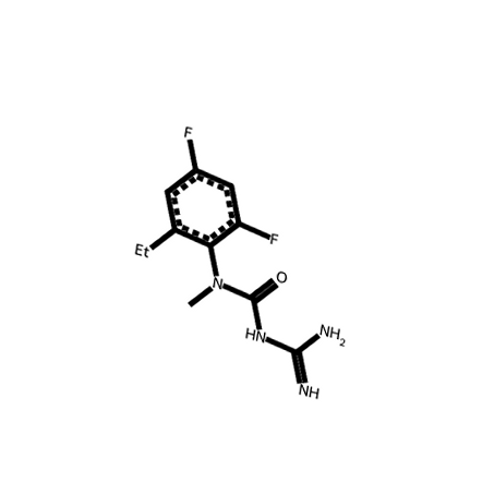 CCc1cc(F)cc(F)c1N(C)C(=O)NC(=N)N